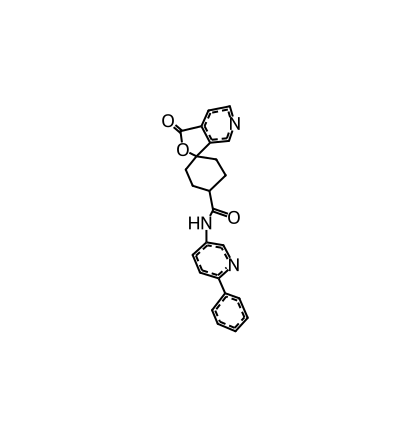 O=C1OC2(CCC(C(=O)Nc3ccc(-c4ccccc4)nc3)CC2)c2cnccc21